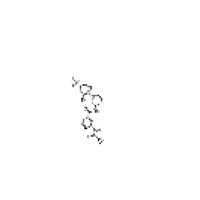 O=C(NC1CCCN(c2ncc(C(F)(F)F)cc2Br)C1)c1ccnc(NC(=O)C2CC2)c1